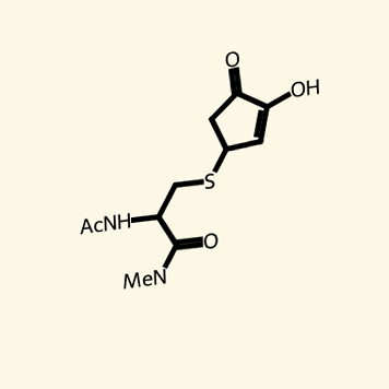 CNC(=O)C(CSC1C=C(O)C(=O)C1)NC(C)=O